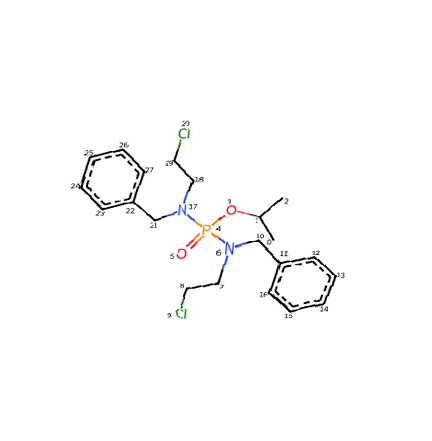 CC(C)OP(=O)(N(CCCl)Cc1ccccc1)N(CCCl)Cc1ccccc1